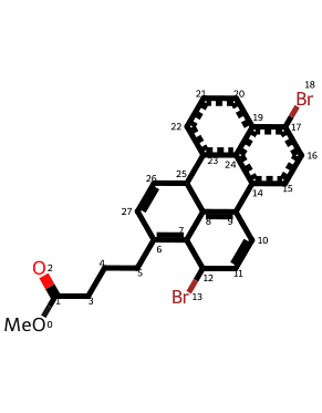 COC(=O)CCCC1=C2C3=C(C=CC2Br)c2ccc(Br)c4cccc(c24)C3C=C1